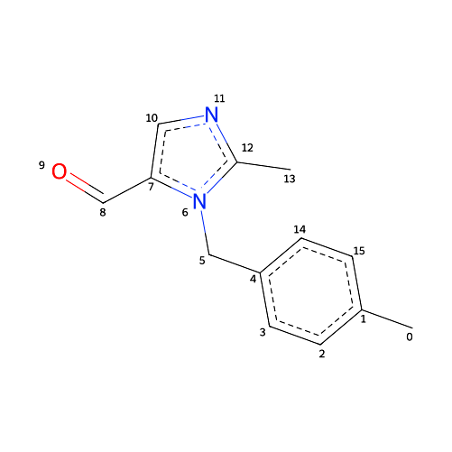 Cc1ccc(Cn2c(C=O)cnc2C)cc1